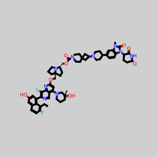 CCc1c(F)ccc2cc(O)cc(-c3ncc4c(N5CCC[C@@](C)(O)C5)cc(OC[C@@]56CCCN5[C@H](COC(=O)N5CCC7(CC5)CC(N5CCC(c8ccc9c(c8)n(C)c(=O)n9C8CCC(=O)NC8=O)CC5)C7)CC6)nc4c3F)c12